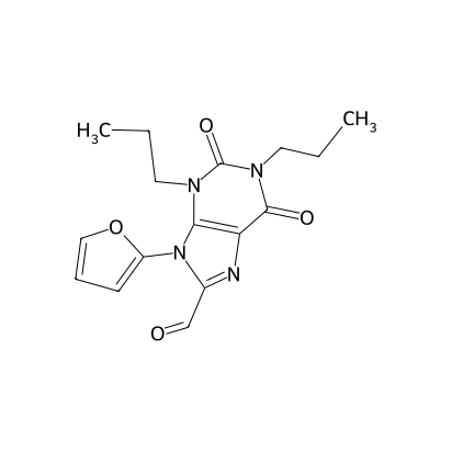 CCCn1c(=O)c2nc(C=O)n(-c3ccco3)c2n(CCC)c1=O